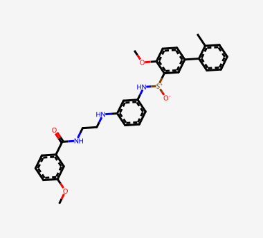 COc1cccc(C(=O)NCCNc2cccc(N[S+]([O-])c3cc(-c4ccccc4C)ccc3OC)c2)c1